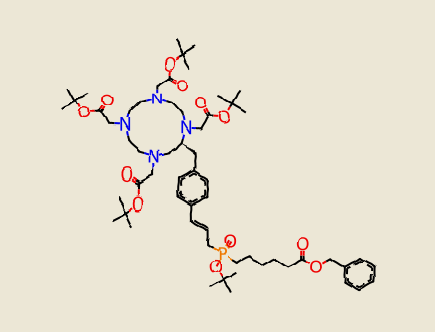 CC(C)(C)OC(=O)CN1CCN(CC(=O)OC(C)(C)C)CCN(CC(=O)OC(C)(C)C)[C@@H](Cc2ccc(/C=C/CP(=O)(CCCCCC(=O)OCc3ccccc3)OC(C)(C)C)cc2)CN(CC(=O)OC(C)(C)C)CC1